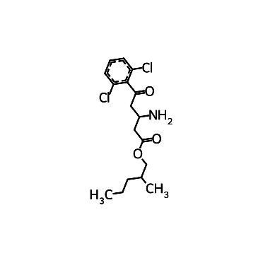 CCCC(C)COC(=O)CC(N)CC(=O)c1c(Cl)cccc1Cl